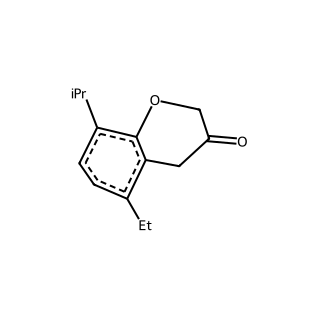 CCc1ccc(C(C)C)c2c1CC(=O)CO2